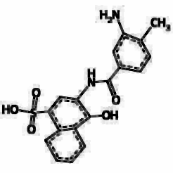 Cc1ccc(C(=O)Nc2cc(S(=O)(=O)O)c3ccccc3c2O)cc1N